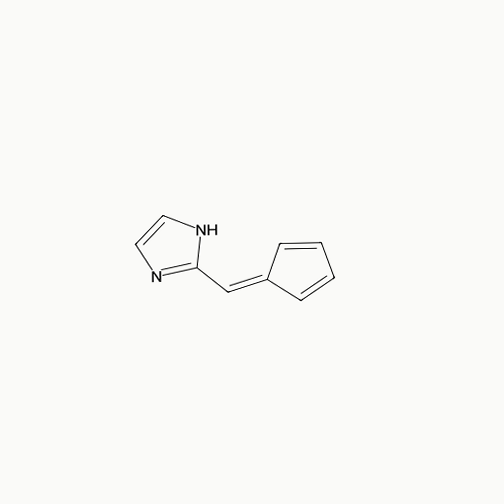 C1=CC(=Cc2ncc[nH]2)C=C1